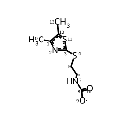 Cc1nc(SCCNC([O])=O)sc1C